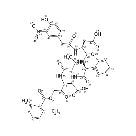 Cc1cccc(C)c1C(=O)OCC(=O)[C@H](CC(=O)O)NC(=O)[C@@H](NC(=O)[C@@H](NC(=O)[C@H](CC(=O)O)NC(=O)Cc1ccc(O)c([N+](=O)[O-])c1)c1ccccc1)C(C)C